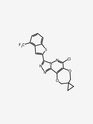 FC(F)(F)c1cccc2sc(-c3nnc4c5c(c(Cl)nn34)OCC3(CC3)CO5)cc12